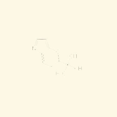 CC(C)(C)c1ccc2nccc-2o1